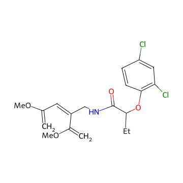 C=C(/C=C(/CNC(=O)C(CC)Oc1ccc(Cl)cc1Cl)C(=C)OC)OC